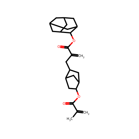 C=C(C)C(=O)OC1CC2CC1CC2CC(=C)C(=O)OC1C2CC3CC(C2)CC1C3